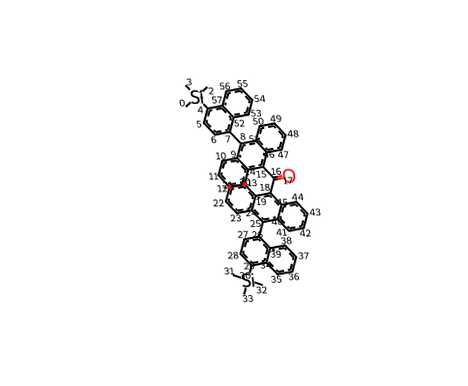 C[Si](C)(C)c1ccc(-c2c3ccccc3c(C(=O)c3c4ccccc4c(-c4ccc([Si](C)(C)C)c5ccccc45)c4ccccc34)c3ccccc23)c2ccccc12